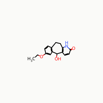 CCOc1ccc2c(c1)C(O)c1ccc(=O)[nH]c1CC2